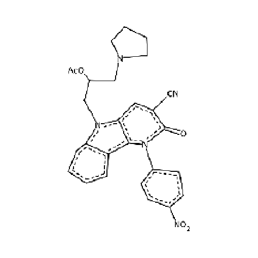 CC(=O)OC(CN1CCCC1)Cn1c2ccccc2c2c1cc(C#N)c(=O)n2-c1ccc([N+](=O)[O-])cc1